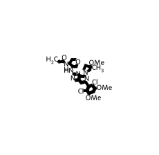 C=CC(=O)N[C@H]1CCOC[C@H]1Nc1ncc2cc(-c3c(Cl)c(OC)cc(OC)c3Cl)nc(N3CCC(C)(OC)C3)c2n1